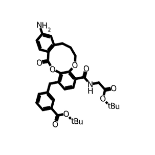 CC(C)(C)OC(=O)CNC(=O)c1ccc(Cc2cccc(C(=O)OC(C)(C)C)c2)c2c1OCCCc1cc(N)ccc1C(=O)O2